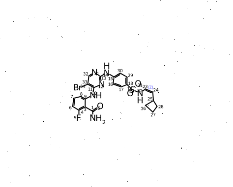 NC(=O)c1c(F)cccc1Nc1nc(Nc2ccc(S(=O)(=O)N/C=C\C3CCC3)cc2)ncc1Br